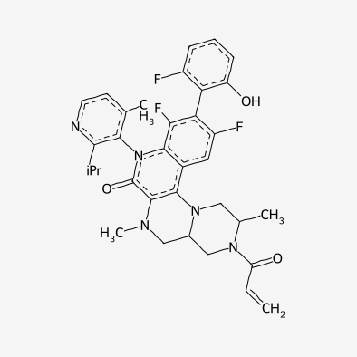 C=CC(=O)N1CC2CN(C)c3c(c4cc(F)c(-c5c(O)cccc5F)c(F)c4n(-c4c(C)ccnc4C(C)C)c3=O)N2CC1C